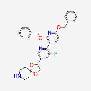 Cc1nc(-c2ccc(OCc3ccccc3)nc2OCc2ccccc2)c(F)cc1C1COC2(CCNCC2)O1